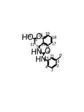 Cc1cccc(NC(=O)N[C@H](CC(=O)O)c2ccccc2)c1